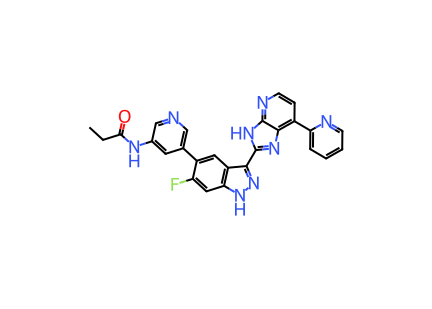 CCC(=O)Nc1cncc(-c2cc3c(-c4nc5c(-c6ccccn6)ccnc5[nH]4)n[nH]c3cc2F)c1